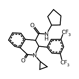 O=C(NC1CCCC1)C1c2ccccc2C(=O)N(C2CC2)C1c1cc(C(F)(F)F)cc(C(F)(F)F)c1